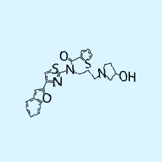 O=C(c1cccs1)N(CCCN1CCC(O)C1)c1nc(-c2cc3ccccc3o2)cs1